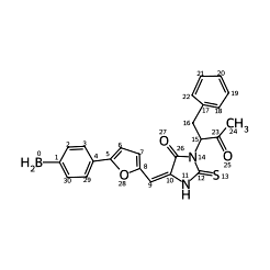 Bc1ccc(-c2ccc(/C=C3/NC(=S)N(C(Cc4ccccc4)C(C)=O)C3=O)o2)cc1